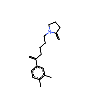 C=C(CCCCN1CCCC1=C)c1ccc(C)c(C)c1